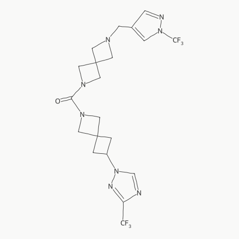 O=C(N1CC2(CC(n3cnc(C(F)(F)F)n3)C2)C1)N1CC2(CN(Cc3cnn(C(F)(F)F)c3)C2)C1